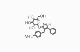 COc1ccc(Cc2c(O[C@@H]3O[C@H](CO)[C@@H](O)[C@H](O)[C@H]3O)n[nH]c2-c2ccccc2)cc1